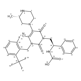 Cc1c(N2CCN[C@@H](C)C2)c(=O)n(C[C@H](NC(=O)O)c2ccccc2)c(=O)n1Cc1c(F)cccc1C(F)(F)F